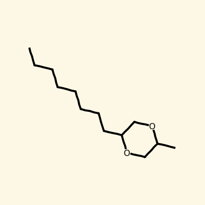 CCCCCCCCC1COC(C)CO1